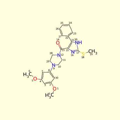 COc1cc(OC)cc(N2CCN(C(=O)c3nc(SC)[nH]c3-c3ccccc3)CC2)c1